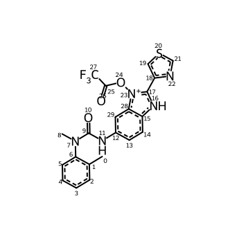 Cc1ccccc1N(C)C(=O)Nc1ccc2[nH]c(-c3cscn3)[n+](OC(=O)C(F)(F)F)c2c1